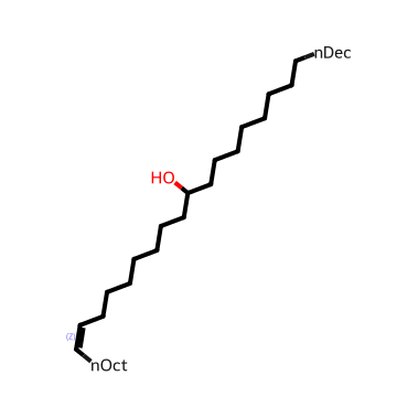 CCCCCCCC/C=C\CCCCCCCC(O)CCCCCCCCCCCCCCCCCC